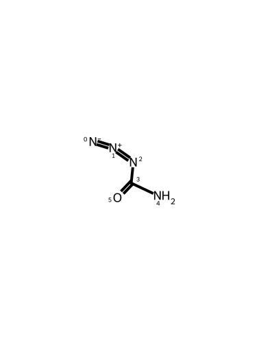 [N-]=[N+]=NC(N)=O